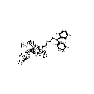 CCO[Si](C)(CCCCCC(c1ccccc1)c1ccccc1)O[SiH](C)O[SiH2]O[SiH3]